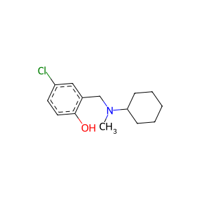 CN(Cc1cc(Cl)ccc1O)C1CCCCC1